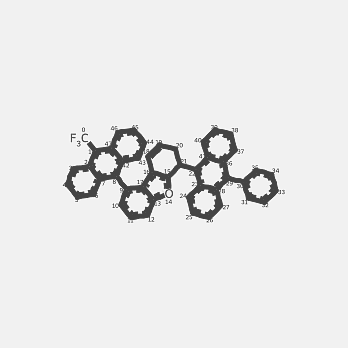 FC(F)(F)c1c2ccccc2c(-c2cccc3oc4c(c23)C=CCC4c2c3ccccc3c(-c3ccccc3)c3ccccc23)c2ccccc12